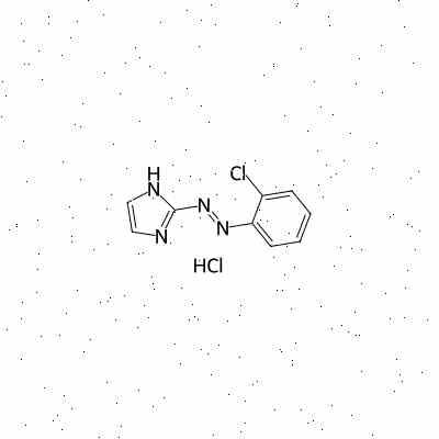 Cl.Clc1ccccc1N=Nc1ncc[nH]1